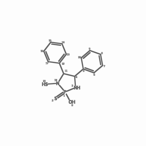 OP1(=S)NC(c2ccccc2)C(c2ccccc2)N1S